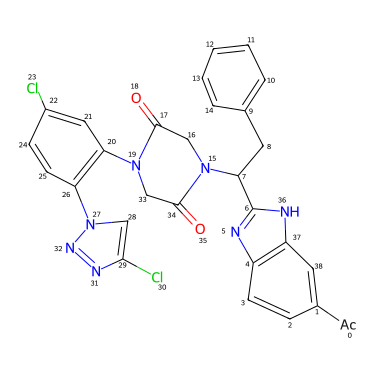 CC(=O)c1ccc2nc(C(Cc3ccccc3)N3CC(=O)N(c4cc(Cl)ccc4-n4cc(Cl)nn4)CC3=O)[nH]c2c1